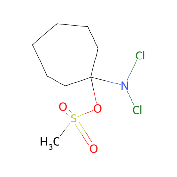 CS(=O)(=O)OC1(N(Cl)Cl)CCCCCC1